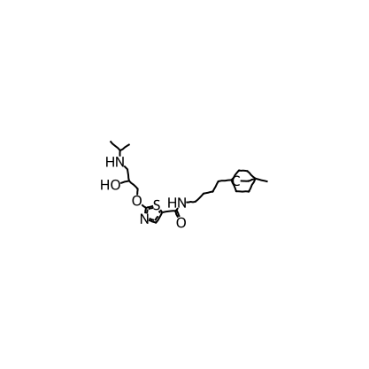 CC(C)NCC(O)COc1ncc(C(=O)NCCCCC23CCC(C)(CC2)CC3)s1